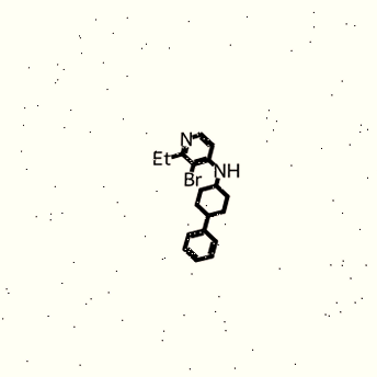 CCc1nccc(NC2CCC(c3ccccc3)CC2)c1Br